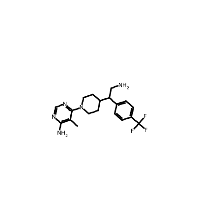 Cc1c(N)ncnc1N1CCC(C(CN)c2ccc(C(F)(F)F)cc2)CC1